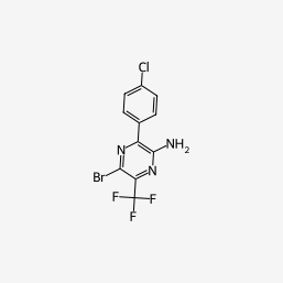 Nc1nc(C(F)(F)F)c(Br)nc1-c1ccc(Cl)cc1